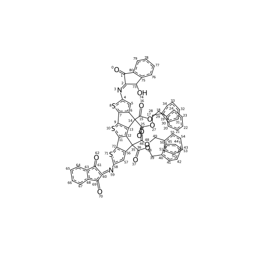 O=C1/C(=N/c2cc3c(s2)-c2sc4c(c2C3(C(=O)OCc2ccccc2)C(=O)OCc2ccccc2)C(C(=O)OCc2ccccc2)(C(=O)OCc2ccccc2)c2cc(N=c3c(=O)c5ccccc5c3=O)sc2-4)C(O)c2ccccc21